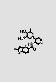 Cc1cc2nc(C(=O)Nc3cnccc3N3CC(C)C(O)C(N)C3)ccc2s1